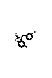 Cc1ccc2oc(=O)n(Cc3cccc(O)c3)c2c1